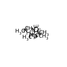 CN(C)CCN(C)C(=O)c1ncccc1C(C)(C)C